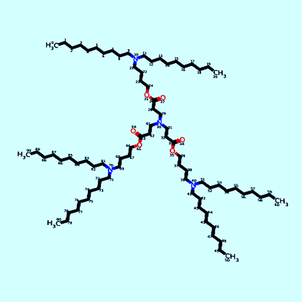 CCCCCCCCCCN(CCCCCCCCCC)CCCCOC(=O)CCN(CCC(=O)OCCCCN(CCCCCCCCCC)CCCCCCCCCC)CCC(=O)OCCCCN(CCCCCCCCCC)CCCCCCCCCC